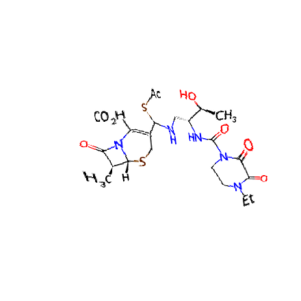 CCN1CCN(C(=O)N[C@H](CNC(SC(C)=O)C2=C(C(=O)O)N3C(=O)[C@H](C)[C@H]3SC2)[C@H](C)O)C(=O)C1=O